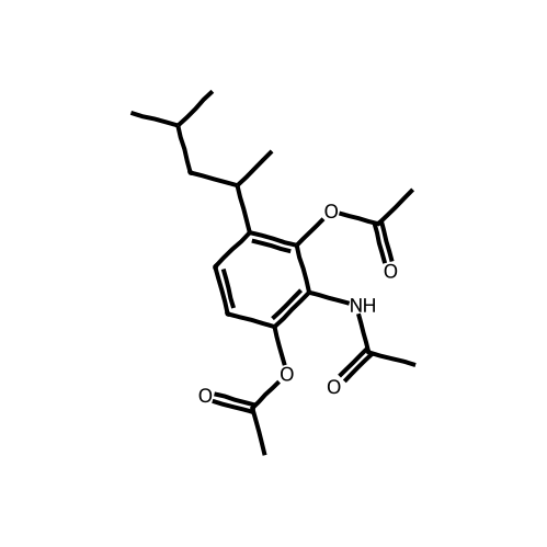 CC(=O)Nc1c(OC(C)=O)ccc(C(C)CC(C)C)c1OC(C)=O